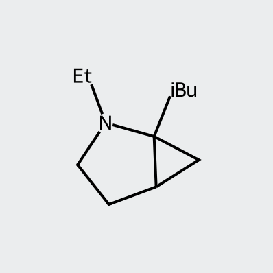 CCC(C)C12CC1CCN2CC